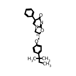 CCC(C)(C)c1ccc(OC[C@@H]2Cn3cc(-c4ccccc4)c(=O)nc3O2)cc1